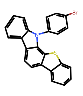 Brc1ccc(-n2c3ccccc3c3ccc4c5ccccc5sc4c32)cc1